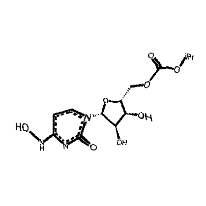 CC(C)OC(=O)OC[C@H]1O[C@@H](n2ccc(NO)nc2=O)[C@H](O)[C@@H]1O